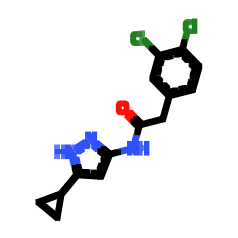 O=C(Cc1ccc(Cl)c(Cl)c1)Nc1cc(C2CC2)[nH]n1